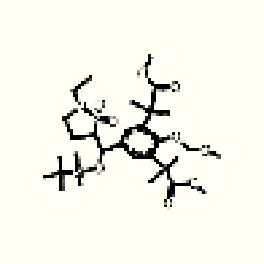 CCN1CCC(C(O[Si](C)(C)C(C)(C)C)c2cc(C(C)(C)C(=O)OC)c(OCOC)c(C(C)(C)C(=O)OC)c2)S1(=O)=O